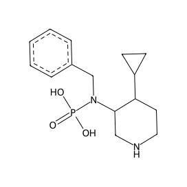 O=P(O)(O)N(Cc1ccccc1)C1CNCCC1C1CC1